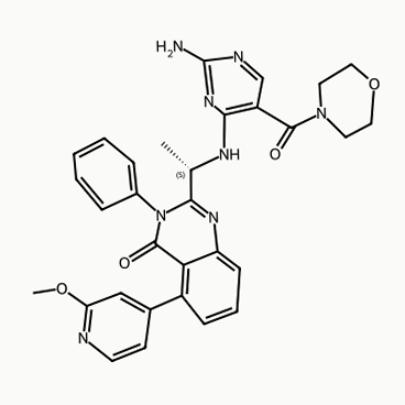 COc1cc(-c2cccc3nc([C@H](C)Nc4nc(N)ncc4C(=O)N4CCOCC4)n(-c4ccccc4)c(=O)c23)ccn1